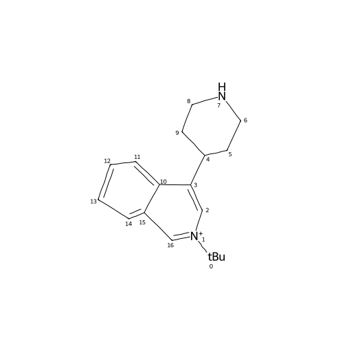 CC(C)(C)[n+]1cc(C2CCNCC2)c2ccccc2c1